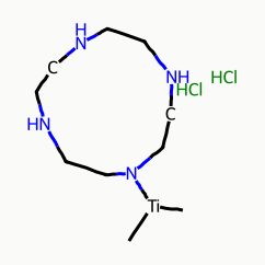 Cl.Cl.[CH3][Ti]([CH3])[N]1CCNCCNCCNCC1